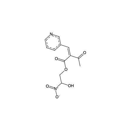 CC(=O)C(=Cc1cccnc1)C(=O)OCC(O)[N+](=O)[O-]